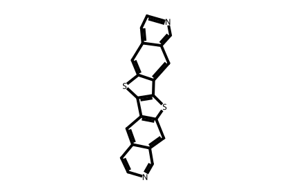 c1cc2cc3c(cc2cn1)sc1c2cc4cnccc4cc2sc31